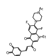 CCn1cc(C(=O)C=CC2=CC(=O)C(=O)C=C2)c(=O)c2cc(F)c(N3CCN(C(C)=O)CC3)c(F)c21